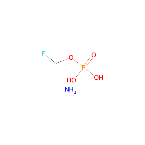 N.O=P(O)(O)OCF